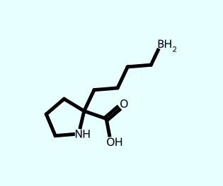 BCCCCC1(C(=O)O)CCCN1